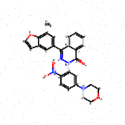 Cc1cc(-c2nn(-c3cc(N4CCOCC4)ccc3[N+](=O)[O-])c(=O)c3ccccc23)cc2ccoc12